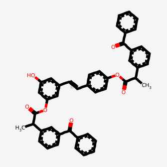 CC(C(=O)Oc1ccc(/C=C/c2cc(O)cc(OC(=O)C(C)c3cccc(C(=O)c4ccccc4)c3)c2)cc1)c1cccc(C(=O)c2ccccc2)c1